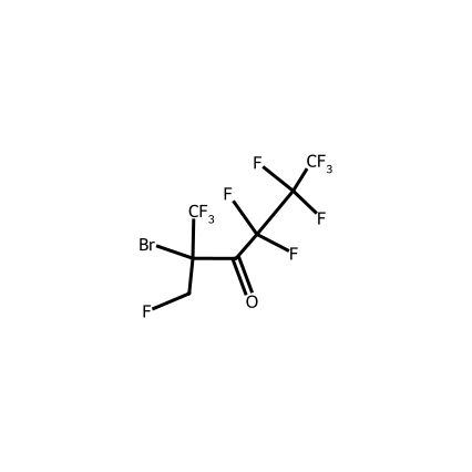 O=C(C(F)(F)C(F)(F)C(F)(F)F)C(Br)(CF)C(F)(F)F